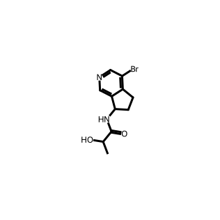 CC(O)C(=O)NC1CCc2c(Br)cncc21